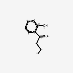 CCCC(=O)c1c[c]ccc1O